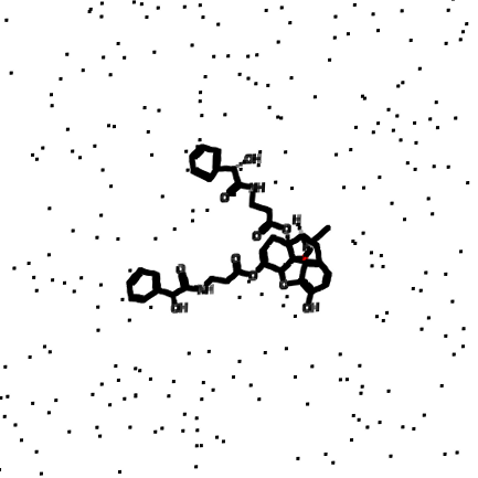 CN1CCC23c4c5ccc(O)c4OC2C(OC(=O)CCNC(=O)[C@@H](O)c2ccccc2)=CC[C@@]3(OC(=O)CCNC(=O)[C@@H](O)c2ccccc2)[C@H]1C5